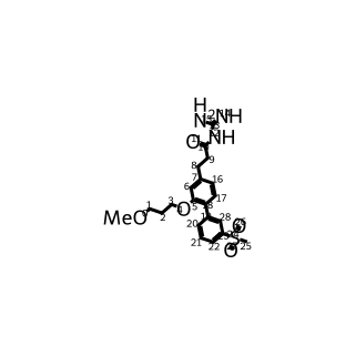 COCCCOc1cc(CCC(=O)NC(=N)N)ccc1-c1cccc(S(C)(=O)=O)c1